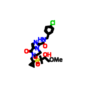 COC[C@H](O)C(C)(C)S(=O)(=O)C1(CN2CCn3c(cnc3C(=O)NCc3ccc(Cl)cc3)C2=O)CC1